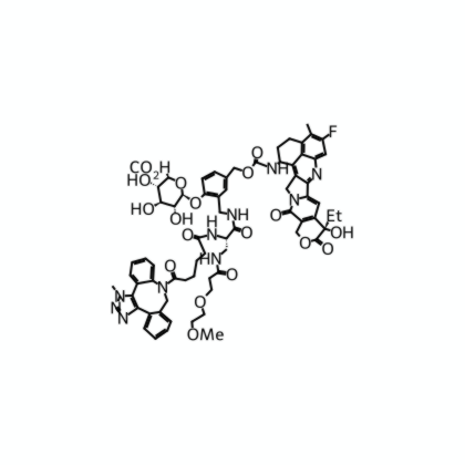 CC[C@@]1(O)C(=O)OCc2c1cc1n(c2=O)Cc2c-1nc1cc(F)c(C)c3c1c2[C@@H](NC(=O)OCc1ccc(O[C@@H]2O[C@H](C(=O)O)[C@@H](O)[C@H](O)[C@H]2O)c(CNC(=O)[C@H](CNC(=O)CCOCCOC)NC(=O)CCCCC(=O)N2Cc4ccccc4-c4nnn(C)c4-c4ccccc42)c1)CC3